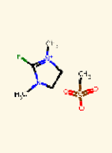 CN1CC[N+](C)=C1F.CS(=O)(=O)[O-]